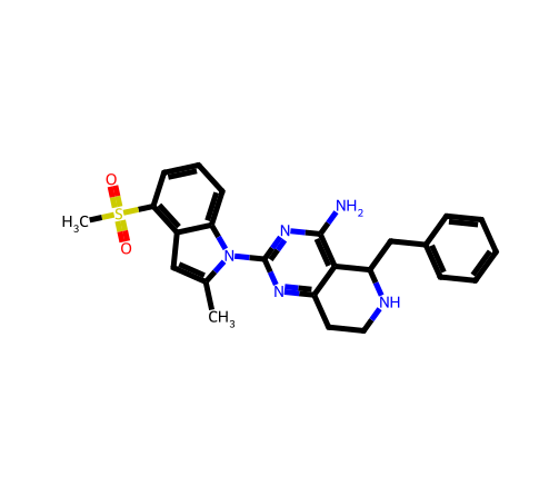 Cc1cc2c(S(C)(=O)=O)cccc2n1-c1nc(N)c2c(n1)CCNC2Cc1ccccc1